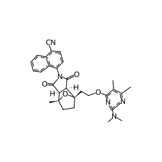 Cc1nc(N(C)C)nc(OCC[C@@]23CC[C@@](C)(O2)[C@H]2C(=O)N(c4ccc(C#N)c5ccccc45)C(=O)[C@H]23)c1C